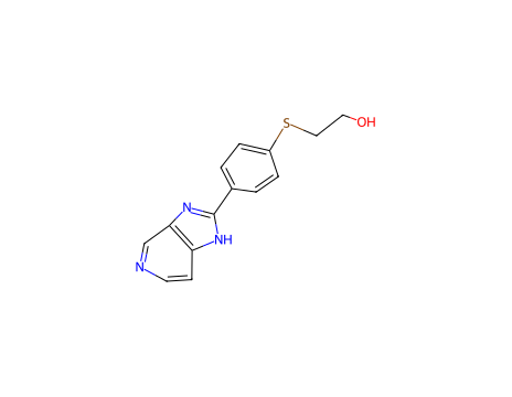 OCCSc1ccc(-c2nc3cnccc3[nH]2)cc1